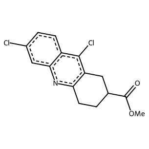 COC(=O)C1CCc2nc3cc(Cl)ccc3c(Cl)c2C1